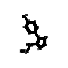 O=C(O)Nc1ncoc1-c1ccc(Br)cc1